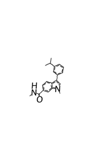 CNC(=O)c1ccc2c(-c3cccc(C(C)C)c3)cn(C)c2c1